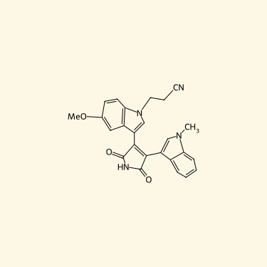 COc1ccc2c(c1)c(C1=C(c3cn(C)c4ccccc34)C(=O)NC1=O)cn2CCC#N